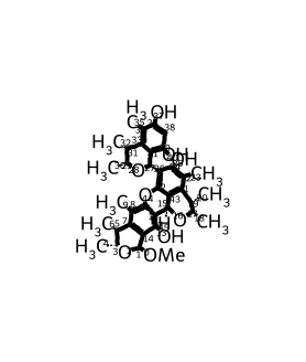 COC1O[C@H](C)[C@@H](C)c2c(C)c3c(c(O)c21)[C@@H]1O[C@H](C)[C@@H](C)c2c(C)c(O)c([C@H]4O[C@H](C)[C@@H](C)c5c(C)c(O)cc(O)c54)c(c21)O3